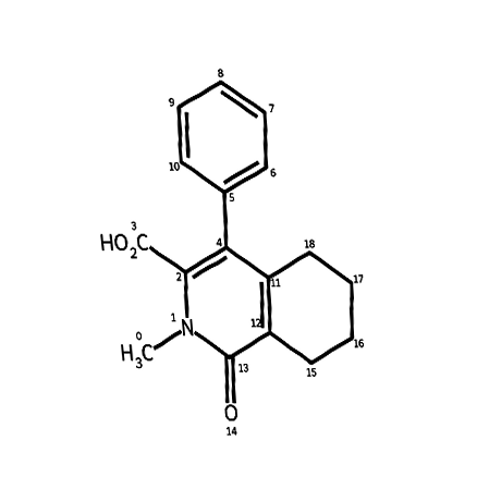 Cn1c(C(=O)O)c(-c2ccccc2)c2c(c1=O)CCCC2